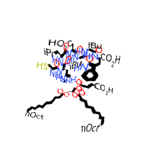 CCCCCCCC/C=C\CCCCCCCC(=O)OC[C@H](COC(=O)CCC(=O)O)OC(=O)CCCCCCC/C=C\CCCCCCCC.CC[C@H](C)[C@H](NC(=O)[C@H](CC(=O)O)NC(=O)[C@H](CC(C)C)NC(=O)[C@H](Cc1c[nH]cn1)NC(=O)[C@@H](N)CS)C(=O)N[C@H](C(=O)N[C@@H](Cc1c[nH]c2ccccc12)C(=O)O)[C@@H](C)CC